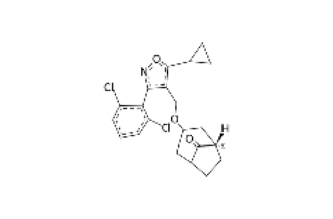 O=C1C2CC[C@H]1CC(OCc1c(-c3c(Cl)cccc3Cl)noc1C1CC1)C2